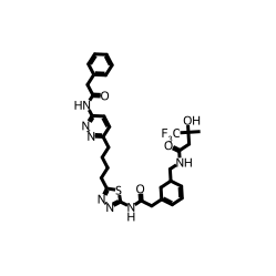 CC(O)(CC(=O)NCC1C=CC=C(CC(=O)Nc2nnc(CCCCc3ccc(NC(=O)Cc4ccccc4)nn3)s2)C1)C(F)(F)F